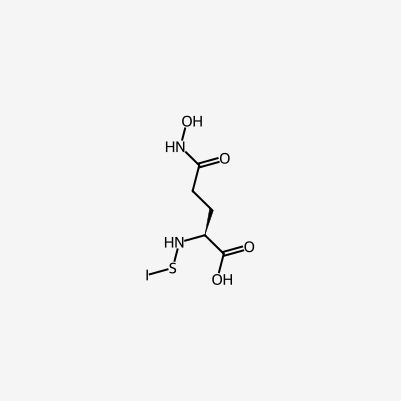 O=C(CC[C@H](NSI)C(=O)O)NO